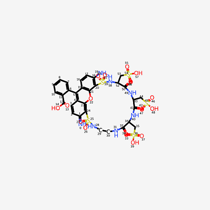 N=c1ccc2c(-c3ccccc3C(=O)O)c3ccc(N)c4c3oc-2c1S(=O)(=O)NCCNC(=O)C(CS(=O)(=O)O)NC(=O)C(CS(=O)(=O)O)NC(=O)C(CS(=O)(=O)O)NS4(=O)=O